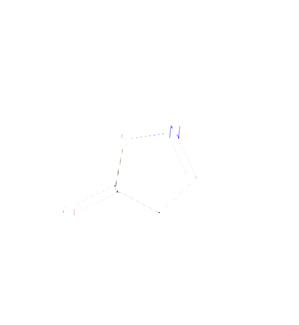 O=C1CC=NS1